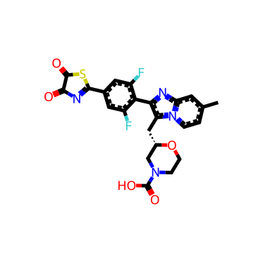 Cc1ccn2c(C[C@H]3CN(C(=O)O)CCO3)c(-c3c(F)cc(C4=NC(=O)C(=O)S4)cc3F)nc2c1